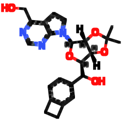 CC1(C)O[C@@H]2[C@H](O1)[C@@H](C(O)c1ccc3c(c1)CC3)O[C@H]2n1ccc2c(CO)ncnc21